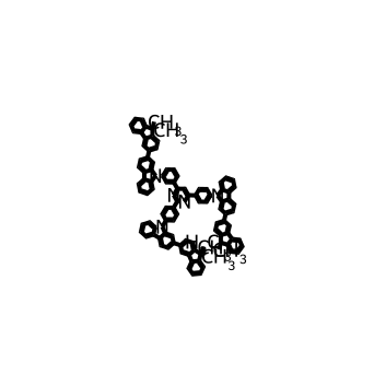 CC1(C)c2ccccc2-c2cc(-c3ccc4c5ccccc5n(-c5ccc(-c6cc(-c7cccc(-n8c9ccccc9c9ccc(-c%10ccc%11c(c%10)-c%10ccccc%10C%11(C)C)cc98)c7)nc(-c7ccc(-n8c9ccccc9c9ccc(-c%10ccc%11c(c%10)-c%10ccccc%10C%11(C)C)cc98)cc7)n6)cc5)c4c3)ccc21